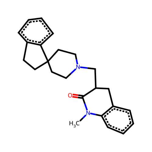 CN1C(=O)C(CN2CCC3(CCc4ccccc43)CC2)Cc2ccccc21